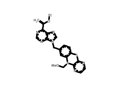 C=C(OCC)c1ncnc2c1ncn2Cc1ccc2c(c1)N(COC)c1nccnc1S2